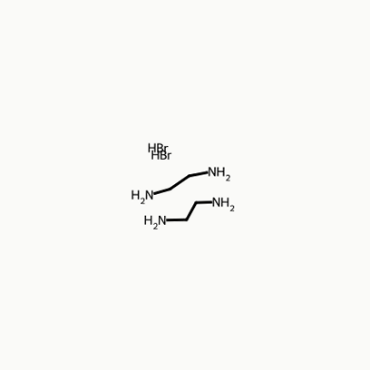 Br.Br.NCCN.NCCN